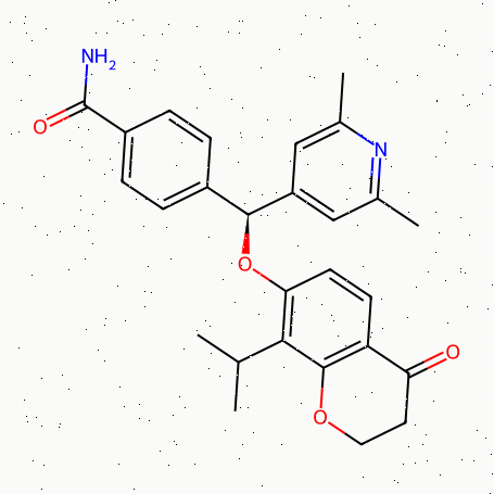 Cc1cc([C@@H](Oc2ccc3c(c2C(C)C)OCCC3=O)c2ccc(C(N)=O)cc2)cc(C)n1